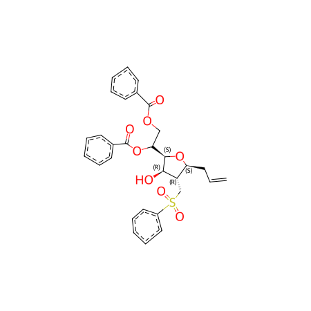 C=CC[C@@H]1O[C@H](C(COC(=O)c2ccccc2)OC(=O)c2ccccc2)[C@H](O)[C@H]1CS(=O)(=O)c1ccccc1